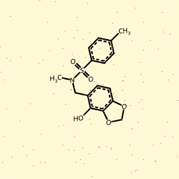 Cc1ccc(S(=O)(=O)N(C)Cc2ccc3c(c2O)OCO3)cc1